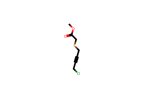 COC(=O)CSCC#CCCl